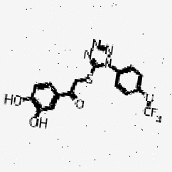 O=C(CSc1nnnn1-c1ccc(OC(F)(F)F)cc1)c1ccc(O)c(O)c1